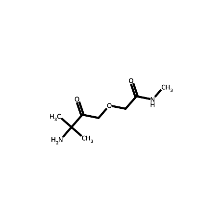 CNC(=O)COCC(=O)C(C)(C)N